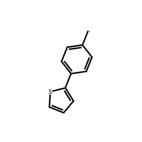 [CH2]c1ccc(-c2cccs2)cc1